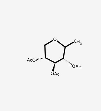 CC(=O)O[C@H]1[C@H](OC(C)=O)COC(C)[C@@H]1OC(C)=O